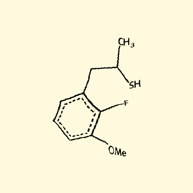 COc1cccc(CC(C)S)c1F